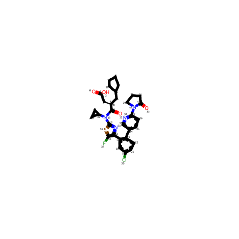 O=C(O)C[C@@H](CC1CCCC1)C(=O)N(c1nc(-c2cc(Cl)ccc2-c2ccc(N3CCCC3=O)nc2)c(F)s1)C1CC1